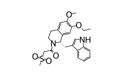 CCOc1cc2c(cc1OC)CCN(C(=O)CS(C)(=O)=O)[C@H]2Cc1c[nH]c2ccccc12